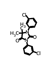 CC1(C)C(=O)N(c2cccc(Cl)c2)C(=O)N1c1cccc(Cl)c1